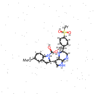 COc1ccc2c(c1)cc(-c1c[nH]c3ncc(-c4ccc(S(=O)(=O)C(C)C)cc4)nc13)n2C(=O)OC(C)(C)C